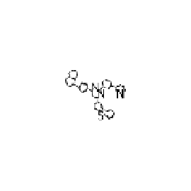 c1cncc(-c2cccc(-c3nc(-c4ccc(-c5cccc6ccccc56)cc4)cc(-c4ccc5sc6ccccc6c5c4)n3)c2)c1